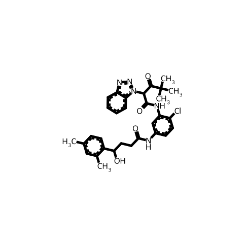 Cc1ccc(C(O)CCC(=O)Nc2ccc(Cl)c(NC(=O)C(C(=O)C(C)(C)C)n3nnc4ccccc43)c2)c(C)c1